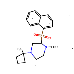 O=CN1CCN(C2(C(F)(F)F)CCC2)CC1S(=O)(=O)c1cccc2ccccc12